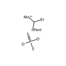 CCCCC[CH]([Mo+3])CC.[O-]P([O-])(=S)[S-]